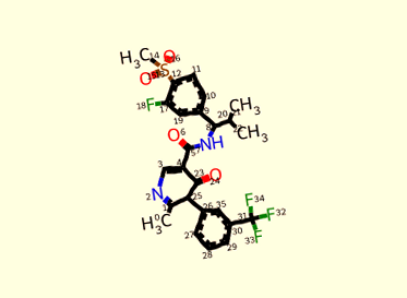 CC1=NC=C(C(=O)NC(c2ccc(S(C)(=O)=O)c(F)c2)C(C)C)C(=O)C1c1cccc(C(F)(F)F)c1